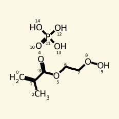 C=C(C)C(=O)OCCOO.O=P(O)(O)O